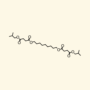 CC(C)COC(=O)CCC(=O)OCCCCCCCCCOC(=O)CCC(=O)OCC(C)C